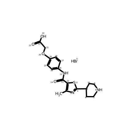 Br.Cc1nc(C2CCNCC2)sc1C(=O)Nc1ccc(OCC(=O)O)cc1